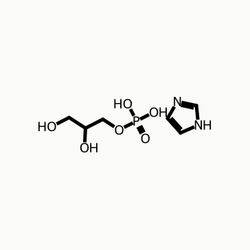 O=P(O)(O)OCC(O)CO.c1c[nH]cn1